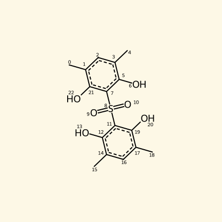 Cc1cc(C)c(O)c(S(=O)(=O)c2c(O)c(C)cc(C)c2O)c1O